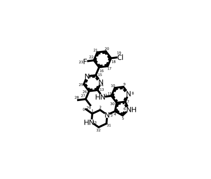 CC1CN(c2c[nH]c3nccc(Nc4nc(-c5cc(Cl)ccc5F)ncc4C(C)C)c23)CCN1